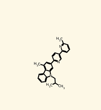 Cc1cccc(-c2ccc(-c3cc(C)c4c5ccccc5n(CC(C)C)c4c3)nc2)n1